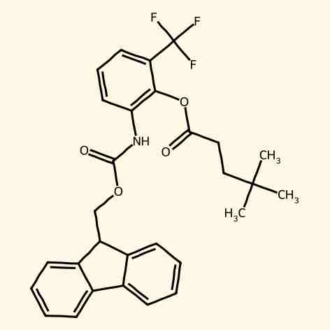 CC(C)(C)CCC(=O)Oc1c(NC(=O)OCC2c3ccccc3-c3ccccc32)cccc1C(F)(F)F